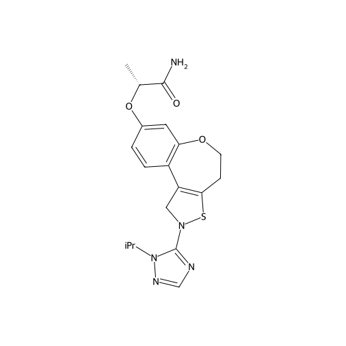 CC(C)n1ncnc1N1CC2=C(CCOc3cc(O[C@H](C)C(N)=O)ccc32)S1